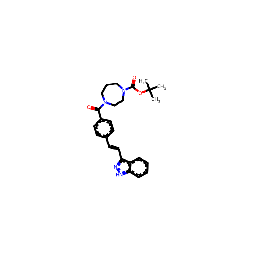 CC(C)(C)OC(=O)N1CCCN(C(=O)c2ccc(C=Cc3n[nH]c4ccccc34)cc2)CC1